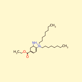 CCCCCCCCN(CCCCCCCC)C1=CC=C(C(=O)OCC)CC1N